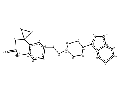 O=C1CC2(CC2)c2cc(CCN3CCN(c4nsc5ccccc45)CC3)ccc2N1